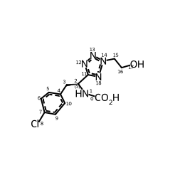 O=C(O)N[C@@H](Cc1ccc(Cl)cc1)c1nnn(CCO)n1